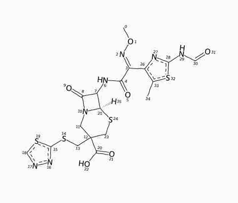 CON=C(C(=O)NC1C(=O)N2CC(CSc3nncs3)(C(=O)O)CS[C@H]12)c1nc(NC=O)sc1C